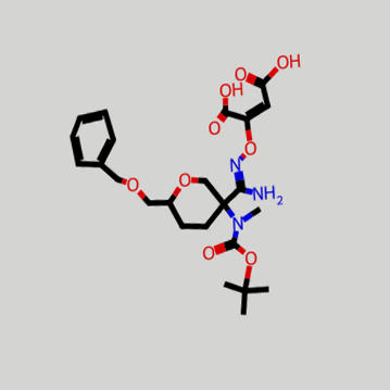 CN(C(=O)OC(C)(C)C)C1(C(N)=NOC(=CC(=O)O)C(=O)O)CCC(COCc2ccccc2)OC1